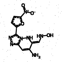 NC1=Cc2nnc(-c3ccc([N+](=O)[O-])o3)n2NC1=CNO